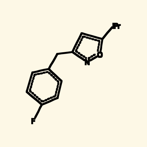 CC(C)c1cc(Cc2ccc(F)cc2)no1